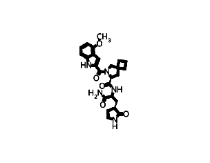 COc1cccc2[nH]c(C(=O)N3CC4(CCC4)C[C@H]3C(=O)NC(C[C@@H]3CCNC3=O)C(N)=O)cc12